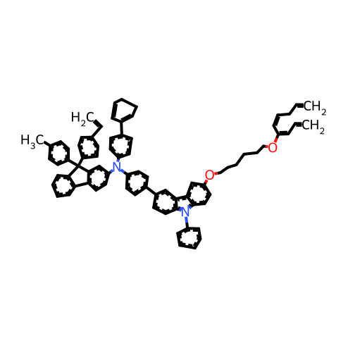 C=C/C=C(\C=C/CC=C)OCCCCCCOc1ccc2c(c1)c1cc(-c3ccc(N(c4ccc(C5=CCCC=C5)cc4)c4ccc5c(c4)C(c4ccc(C)cc4)(c4ccc(C=C)cc4)c4ccccc4-5)cc3)ccc1n2-c1ccccc1